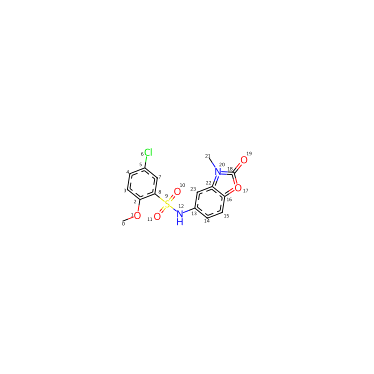 COc1ccc(Cl)cc1S(=O)(=O)Nc1ccc2oc(=O)n(C)c2c1